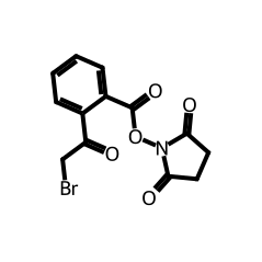 O=C(CBr)c1ccccc1C(=O)ON1C(=O)CCC1=O